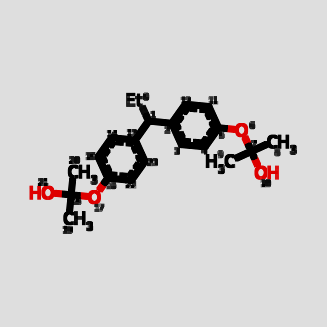 CCC(c1ccc(OC(C)(C)O)cc1)c1ccc(OC(C)(C)O)cc1